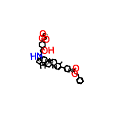 CC1C(C2=CC[C@H](C(=O)OCc3ccccc3)CC2)=CC[C@@]2(C)C1CC[C@]1(C)C2CC[C@@H]2C3CCC[C@]3(NCCC3(O)CCC(OS(C)(=O)=O)CC3)CC[C@]21C